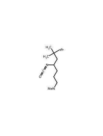 CCCC(C)(C)CC(CCCNC)N=C=O